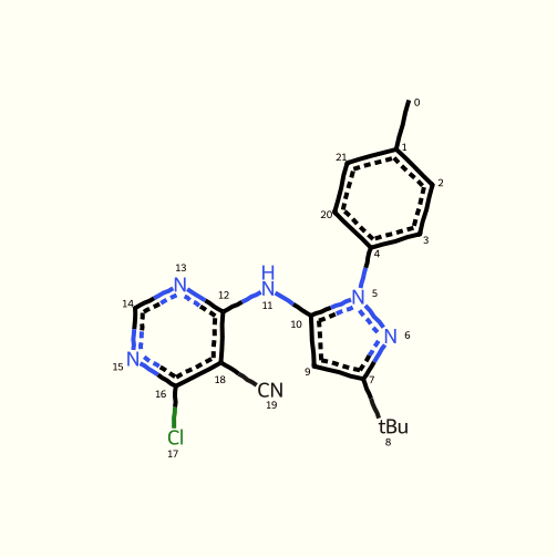 Cc1ccc(-n2nc(C(C)(C)C)cc2Nc2ncnc(Cl)c2C#N)cc1